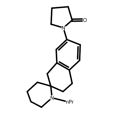 CCCN1CCCCC12CCc1ccc(N3CCCC3=O)cc1C2